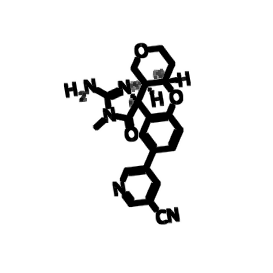 CN1C(=O)[C@]2(N=C1N)c1cc(-c3cncc(C#N)c3)ccc1O[C@H]1CCOC[C@@H]12